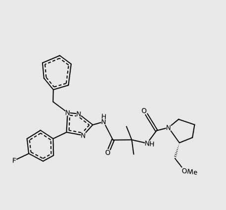 COC[C@H]1CCCN1C(=O)NC(C)(C)C(=O)Nc1nc(-c2ccc(F)cc2)n(Cc2ccccc2)n1